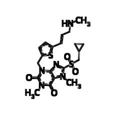 CNC/C=C/c1ccc(Cn2c(=O)n(C)c(=O)c3c2nc(S(=O)(=O)CC2CC2)n3C)s1